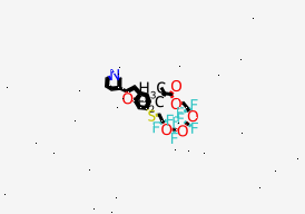 C=C(C)C(=O)OCC(F)(F)OC(F)(F)OC(F)(F)OC(F)(F)CSc1ccc2cc(-c3cccnc3)oc2c1